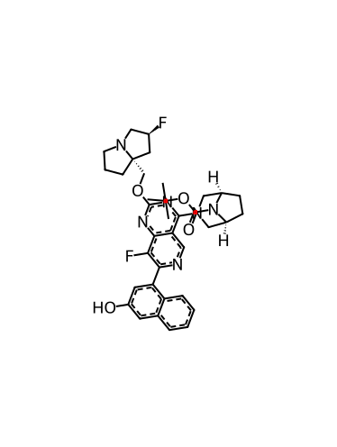 CC(C)(C)OC(=O)N1[C@@H]2CC[C@H]1CN(c1nc(OC[C@]34CCCN3C[C@@H](F)C4)nc3c(F)c(-c4cc(O)cc5ccccc45)ncc13)C2